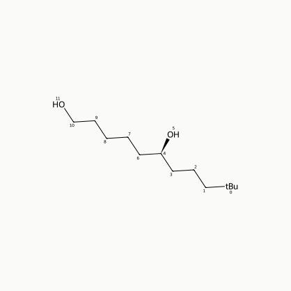 CC(C)(C)CCC[C@H](O)CCCCCO